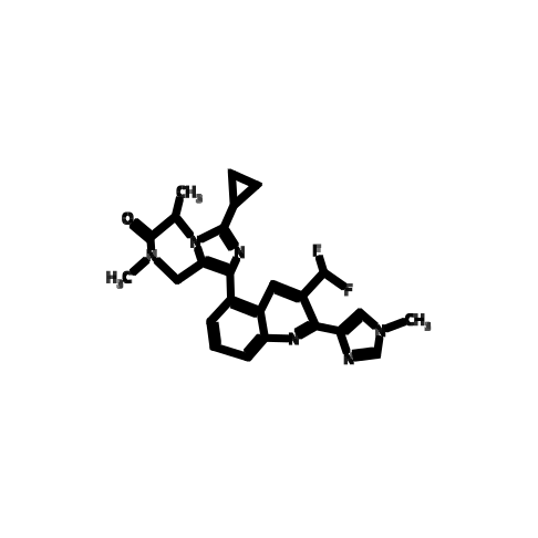 CC1C(=O)N(C)Cc2c(-c3cccc4nc(-c5cn(C)cn5)c(C(F)F)cc34)nc(C3CC3)n21